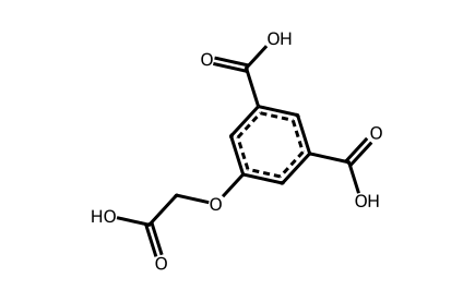 O=C(O)COc1cc(C(=O)O)cc(C(=O)O)c1